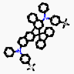 C[Si](C)(C)c1ccc(N(c2ccccc2)c2ccc3cc4c(cc3c2)C2(c3ccccc3-c3ccccc32)c2cc(N(c3ccccc3)c3ccc([Si](C)(C)C)cc3)c3ccccc3c2-4)cc1